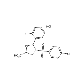 Cl.O=C(O)C1CC(S(=O)(=O)c2ccc(Cl)cc2)C(c2ccccc2F)N1